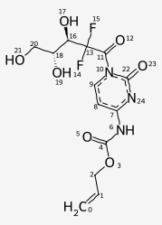 C=CCOC(=O)Nc1ccn(C(=O)C(F)(F)[C@H](O)[C@H](O)CO)c(=O)n1